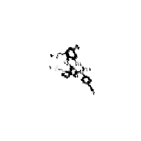 Cc1cc(Br)cc(C)c1Oc1nc(N(C(=O)O)c2ccc(C#N)cc2)nc2ccn(C)c12